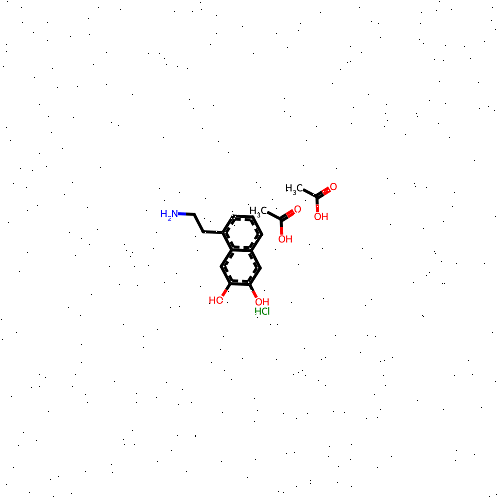 CC(=O)O.CC(=O)O.Cl.NCCc1cccc2cc(O)c(O)cc12